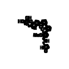 COc1nc(-c2cccc(-c3cccc(-c4ccn5c(=O)c(CN6C[C@@H](O)[C@H](O)C6)cnc5c4)c3Cl)c2Cl)ccc1CNC[C@H]1CCC(=O)N1